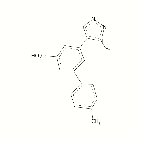 CCn1nncc1-c1cc(C(=O)O)cc(-c2ccc(C)cc2)c1